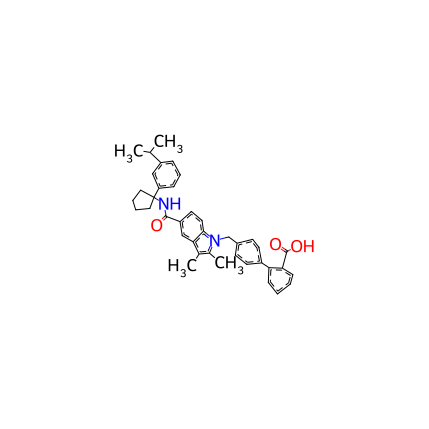 Cc1c(C)n(Cc2ccc(-c3ccccc3C(=O)O)cc2)c2ccc(C(=O)NC3(c4cccc(C(C)C)c4)CCCC3)cc12